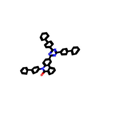 O=c1c2ccccc2c2cc(-c3nc(-c4ccc(-c5ccccc5)cc4)nc(-c4ccc(-c5ccccc5)cc4)n3)ccc2n1-c1ccc(-c2ccccc2)cc1